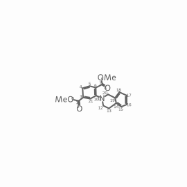 COC(=O)c1ccc(C(=O)OC)c(N2CCc3ccccc3C2)c1